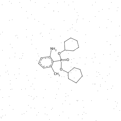 Cc1cccc(N)c1P(=O)(OC1CCCCC1)OC1CCCCC1